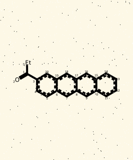 CCC(=O)c1ccc2cc3cc4ccccc4cc3cc2c1